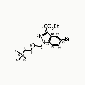 CCOC(=O)c1nn(COCC[Si](C)(C)C)c2ccc(Br)cc12